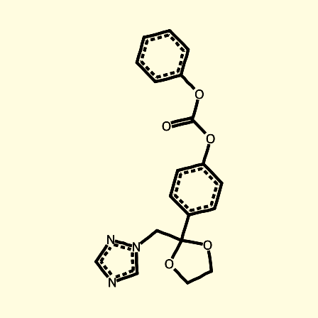 O=C(Oc1ccccc1)Oc1ccc(C2(Cn3cncn3)OCCO2)cc1